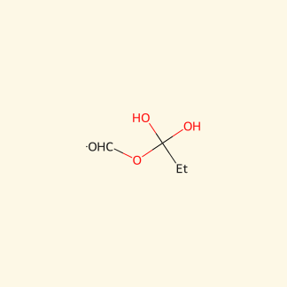 CCC(O)(O)O[C]=O